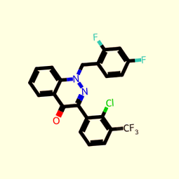 O=c1c(-c2cccc(C(F)(F)F)c2Cl)nn(Cc2ccc(F)cc2F)c2ccccc12